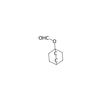 O=[C]OC12CCC(CC1)CC2